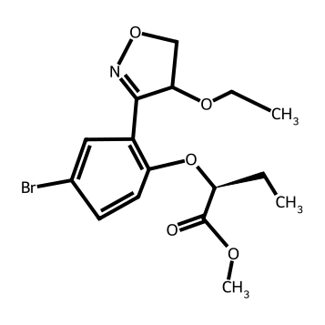 CCOC1CON=C1c1cc(Br)ccc1O[C@@H](CC)C(=O)OC